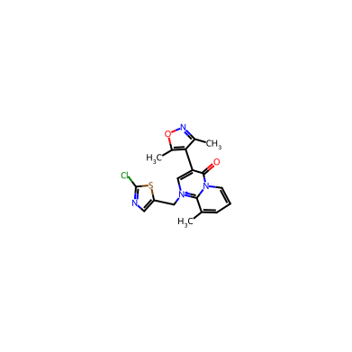 Cc1noc(C)c1-c1c[n+](Cc2cnc(Cl)s2)c2c(C)cccn2c1=O